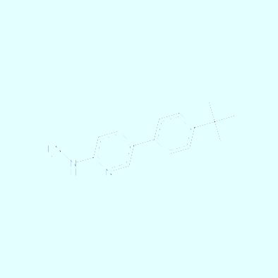 CC(C)(C)c1ccc(-c2ccc(NN)nc2)cc1